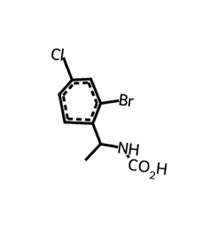 CC(NC(=O)O)c1ccc(Cl)cc1Br